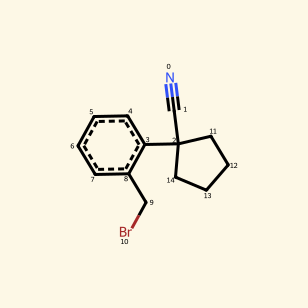 N#CC1(c2ccccc2CBr)CCCC1